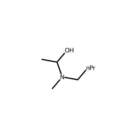 CCCCN(C)C(C)O